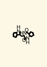 O=C1NC(Cc2c[nH]c3ccccc23)C(=O)Nc2ccccc21